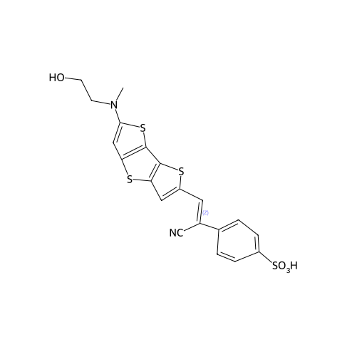 CN(CCO)c1cc2sc3cc(/C=C(\C#N)c4ccc(S(=O)(=O)O)cc4)sc3c2s1